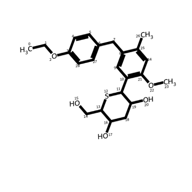 CCOc1ccc(Cc2cc(C3SC(CO)C(O)CC3O)c(OC)cc2C)cc1